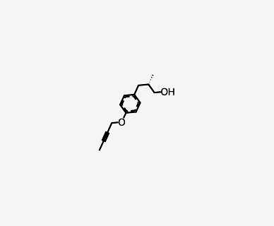 CC#CCOc1ccc(C[C@H](C)CO)cc1